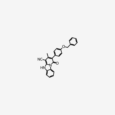 Cc1c(-c2ccc(OCc3ccccc3)cc2)c(=O)n2c([nH]c3ccccc32)c1C#N